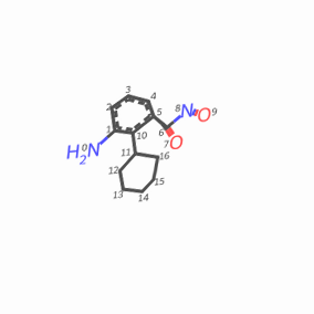 Nc1cccc(C(=O)N=O)c1C1CCCCC1